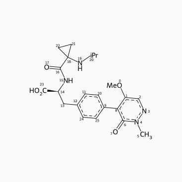 COc1cnn(C)c(=O)c1-c1ccc(C[C@H](NC(=O)C2(NC(C)C)CC2)C(=O)O)cc1